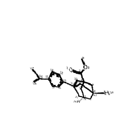 COC(=O)C12C[C@H]3C[C@@H](C1)CC(c1ccc(C(C)C)cc1)(C3)C2